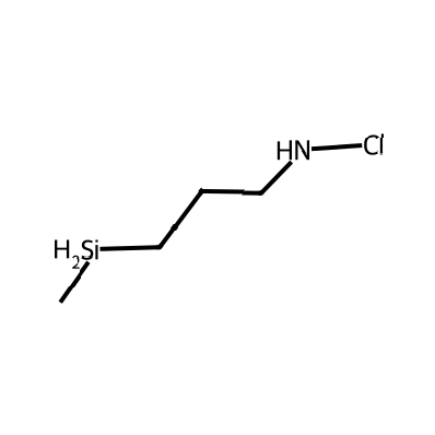 C[SiH2]CCCNCl